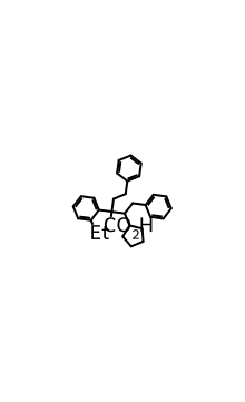 CCc1ccccc1C(CCc1ccccc1)(C(=O)O)C(Cc1ccccc1)C1CCCC1